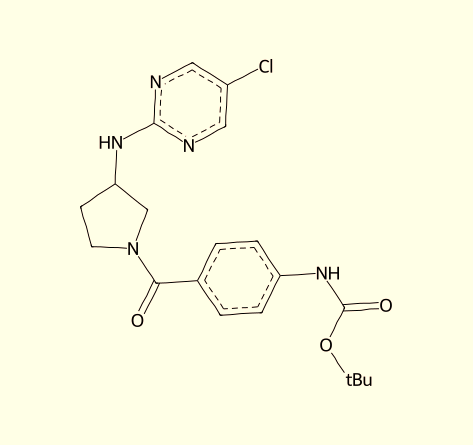 CC(C)(C)OC(=O)Nc1ccc(C(=O)N2CCC(Nc3ncc(Cl)cn3)C2)cc1